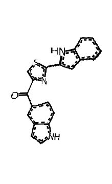 O=C(c1ccc2[nH]ccc2c1)c1csc(-c2cc3ccccc3[nH]2)n1